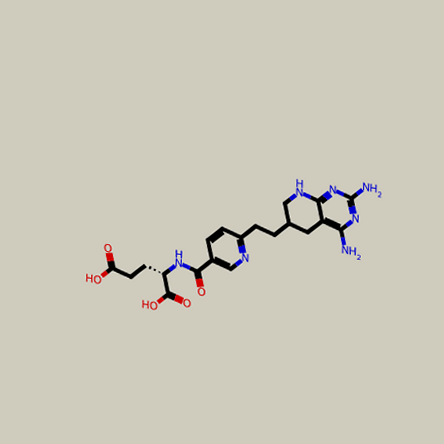 Nc1nc(N)c2c(n1)NCC(CCc1ccc(C(=O)N[C@@H](CCC(=O)O)C(=O)O)cn1)C2